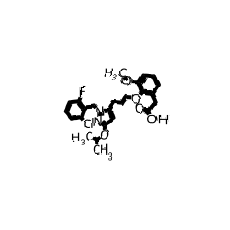 COc1cccc(CC(=O)O)c1OCCCc1cc(OC(C)C)nn1Cc1c(F)cccc1Cl